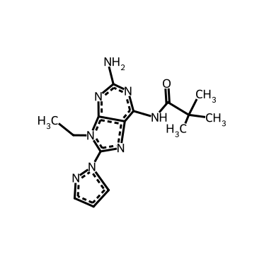 CCn1c(-n2cccn2)nc2c(NC(=O)C(C)(C)C)nc(N)nc21